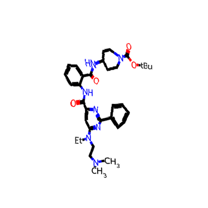 CCN(CCN(C)C)c1cc(C(=O)Nc2ccccc2C(=O)NC2CCN(C(=O)OC(C)(C)C)CC2)nc(-c2ccccc2)n1